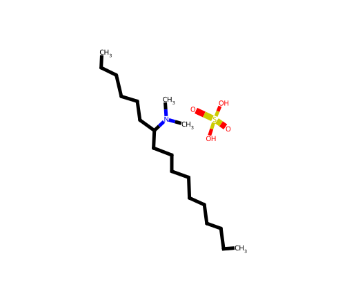 CCCCCCCCCCC(CCCCCC)N(C)C.O=S(=O)(O)O